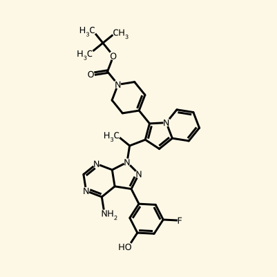 CC(c1cc2ccccn2c1C1=CCN(C(=O)OC(C)(C)C)CC1)N1N=C(c2cc(O)cc(F)c2)C2C(N)=NC=NC21